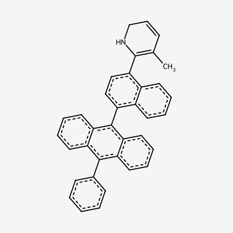 CC1=C(c2ccc(-c3c4ccccc4c(-c4ccccc4)c4ccccc34)c3ccccc23)NCC=C1